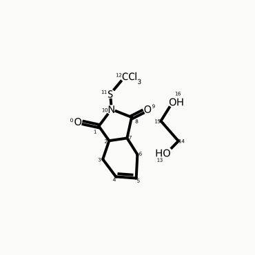 O=C1C2CC=CCC2C(=O)N1SC(Cl)(Cl)Cl.OCCO